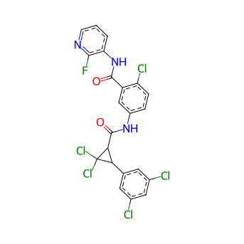 O=C(Nc1cccnc1F)c1cc(NC(=O)C2C(c3cc(Cl)cc(Cl)c3)C2(Cl)Cl)ccc1Cl